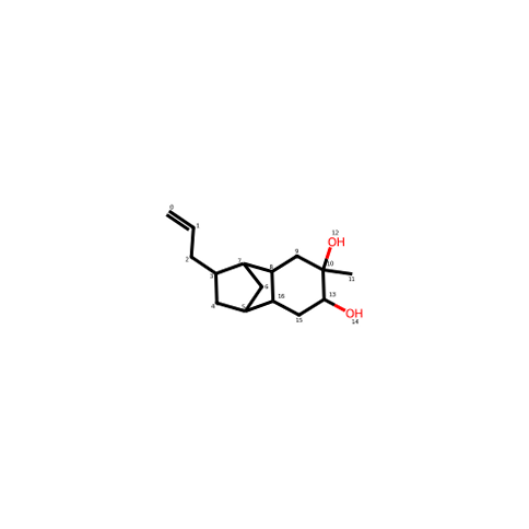 C=CCC1CC2CC1C1CC(C)(O)C(O)CC21